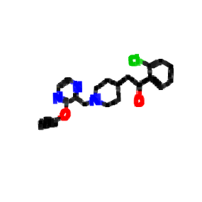 CC(C)(C)Oc1nccnc1CN1CCC(CC(=O)c2ccccc2Cl)CC1